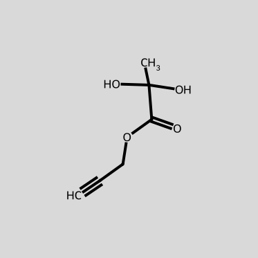 C#CCOC(=O)C(C)(O)O